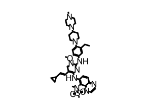 CCc1cc(Nc2ncc(/C=C/C3CC3)c(Nc3ccc4nccnc4c3N(C)S(C)(=O)=O)n2)c(OC)cc1N1CCC(N2CCN(C)CC2)CC1